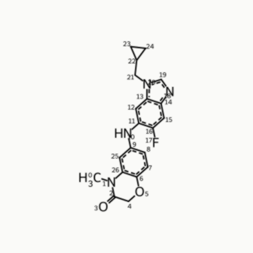 CN1C(=O)COc2ccc(Nc3cc4c(cc3F)ncn4CC3CC3)cc21